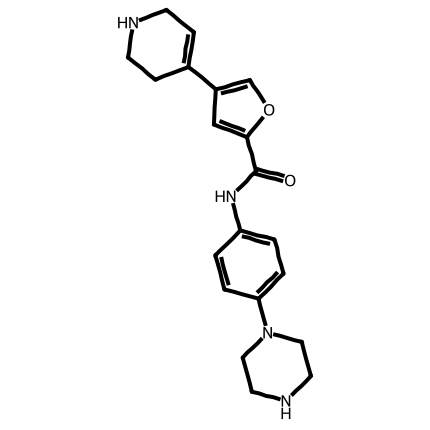 O=C(Nc1ccc(N2CCNCC2)cc1)c1cc(C2=CCNCC2)co1